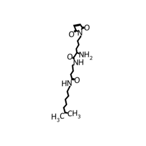 CC(C)CCCCCCNC(=O)CCCNC(=O)C(N)CCCCN1C(=O)C=CC1=O